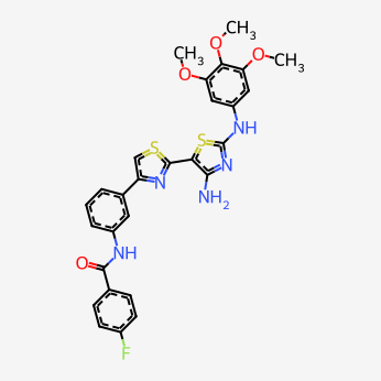 COc1cc(Nc2nc(N)c(-c3nc(-c4cccc(NC(=O)c5ccc(F)cc5)c4)cs3)s2)cc(OC)c1OC